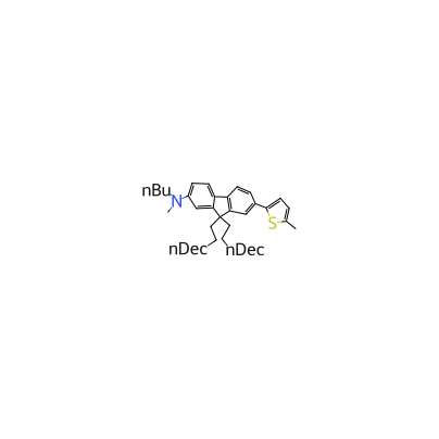 CCCCCCCCCCCCC1(CCCCCCCCCCCC)c2cc(-c3ccc(C)s3)ccc2-c2ccc(N(C)CCCC)cc21